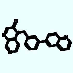 O=c1cnc2cnccc2n1Cc1cccc(-c2ccc3ncccc3c2)c1